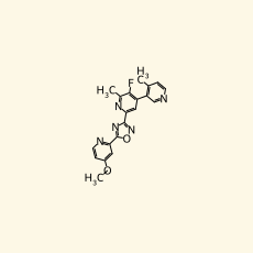 COc1ccnc(-c2nc(-c3cc(-c4cnccc4C)c(F)c(C)n3)no2)c1